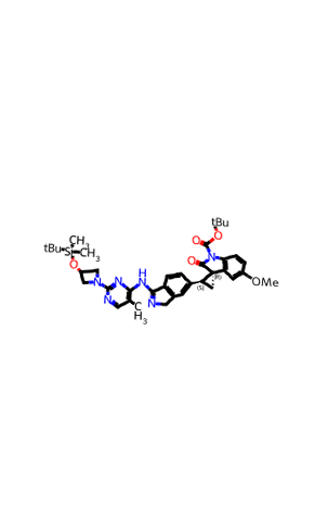 COc1ccc2c(c1)[C@]1(C[C@H]1c1ccc3c(c1)CN=C3Nc1nc(N3CC(O[Si](C)(C)C(C)(C)C)C3)ncc1C)C(=O)N2C(=O)OC(C)(C)C